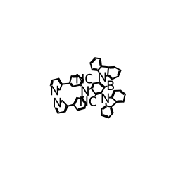 N#Cc1c(N(c2cccc(-c3cccnc3)c2)c2cccc(-c3cccnc3)c2)c(C#N)c2c3c1-n1c4ccccc4c4cccc(c41)B3c1cccc3c4ccccc4n-2c13